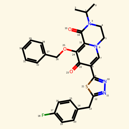 CC(C)N1CCn2cc(-c3nnc(Cc4ccc(F)cc4)s3)c(=O)c(OCc3ccccc3)c2C1=O